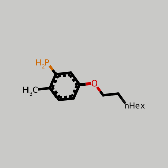 CCCCCCCCOc1ccc(C)c(P)c1